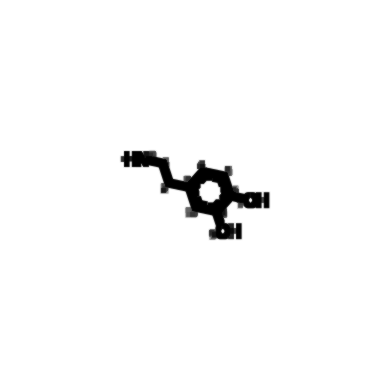 [NH]CCc1ccc(O)c(O)c1